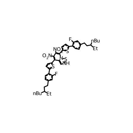 CCCCC(CC)CCc1ccc(-c2ccc(C3=C([N+](=O)[O-])C([N+](=O)[O-])=C(c4ccc(-c5ccc(CCC(CC)CCCC)cc5F)s4)N4SNC=C34)s2)c(F)c1